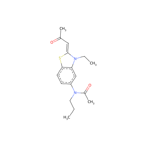 CCCN(C(C)=O)c1ccc2c(c1)N(CC)/C(=C/C(C)=O)S2